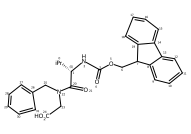 CC(C)[C@H](NC(=O)OCC1c2ccccc2-c2ccccc21)C(=O)N(CC(=O)O)Cc1ccccc1